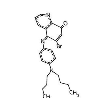 CCCCN(CCCC)c1ccc(N=C2C(Br)=CC(=O)c3ncccc32)cc1